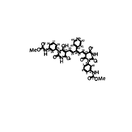 COC(=O)Nc1cccc(N2C(=O)NC(=O)C(=CC=C(C=Cc3c(O)n(-c4cccc(NC(=O)OC)c4)c(=O)[nH]c3=O)c3ccncc3)C2=O)c1